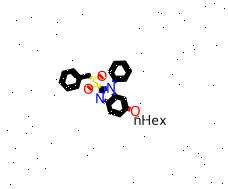 CCCCCCOc1ccc2nc(S(=O)(=O)Cc3ccccc3)n(-c3ccccc3)c2c1